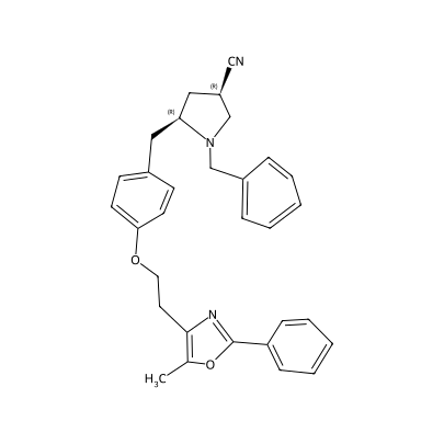 Cc1oc(-c2ccccc2)nc1CCOc1ccc(C[C@H]2C[C@@H](C#N)CN2Cc2ccccc2)cc1